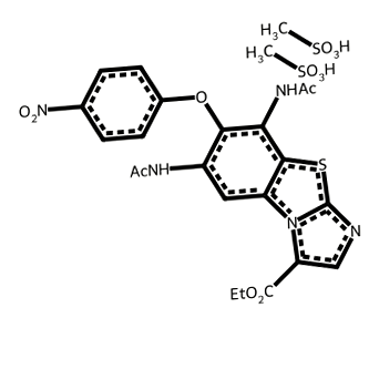 CCOC(=O)c1cnc2sc3c(NC(C)=O)c(Oc4ccc([N+](=O)[O-])cc4)c(NC(C)=O)cc3n12.CS(=O)(=O)O.CS(=O)(=O)O